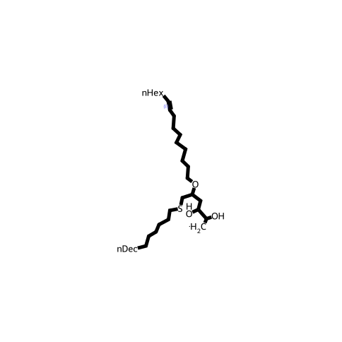 [CH2]C(O)C(O)CC(CSCCCCCCCCCCCCCCCC)OCCCCCCCC/C=C/CCCCCC